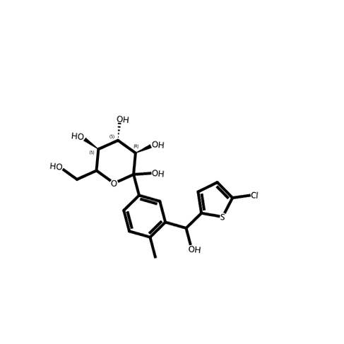 Cc1ccc(C2(O)OC(CO)[C@@H](O)[C@H](O)[C@H]2O)cc1C(O)c1ccc(Cl)s1